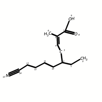 CCC(CC=C(C)C(=O)O)CCCCC#N